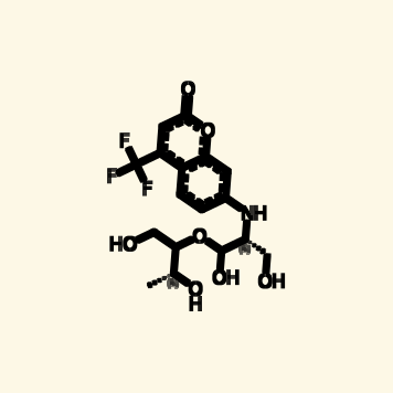 C[C@@H](O)C(CO)OC(O)[C@@H](CO)Nc1ccc2c(C(F)(F)F)cc(=O)oc2c1